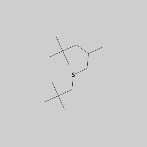 CC(CSCC(C)(C)C)CC(C)(C)C